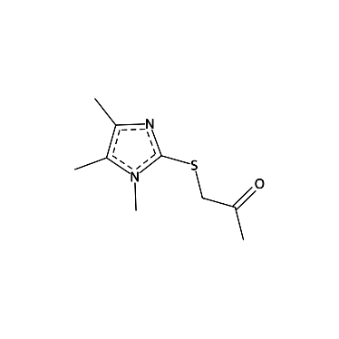 CC(=O)CSc1nc(C)c(C)n1C